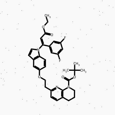 CCOC(=O)C=C(c1cc(F)cc(F)c1)n1ccc2cc(OCCc3ccc4c(n3)N(C(=O)OC(C)(C)C)CCC4)ccc21